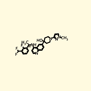 C[C@@H](Nc1ccnc2ccc(C3(O)CCN(c4ccn(C)n4)CC3)cc12)c1cccc(C(F)F)c1F